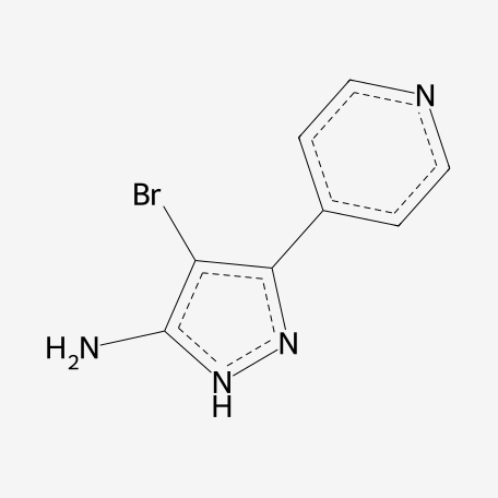 Nc1[nH]nc(-c2ccncc2)c1Br